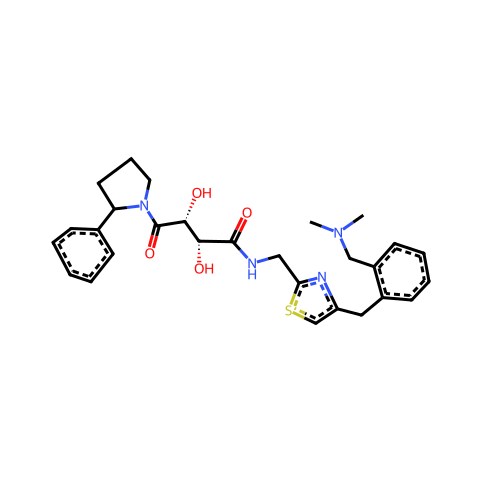 CN(C)Cc1ccccc1Cc1csc(CNC(=O)[C@H](O)[C@@H](O)C(=O)N2CCCC2c2ccccc2)n1